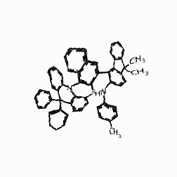 Cc1ccc(Nc2ccc3c(c2-c2cc4ccccc4c4c2Sc2cccc5c2N4c2ccccc2C5(C2=CCCC=C2)c2ccccc2)-c2ccccc2C3(C)C)cc1